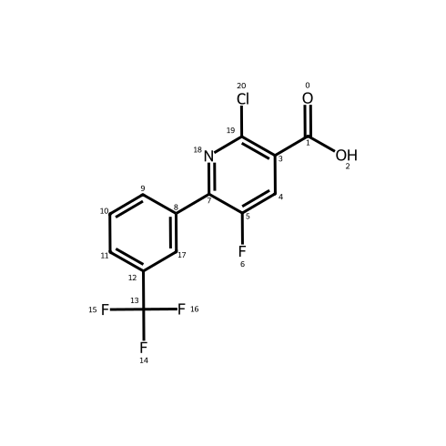 O=C(O)c1cc(F)c(-c2cccc(C(F)(F)F)c2)nc1Cl